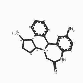 Bc1ccc2c(c1)C(c1ccccc1)N(C1CCC(C)C1)CC(=O)N2